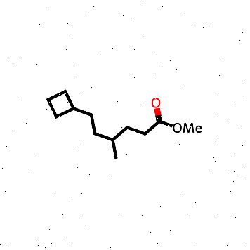 COC(=O)CCC(C)CCC1CCC1